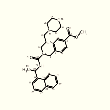 COC(=O)c1ccc(CN(CCCN2CCOCC2)C(=O)NC(C)c2cccc3ccccc23)cc1